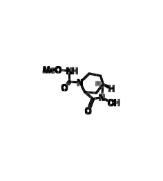 CONC(=O)N1CC[C@H]2CC1C(=O)N2O